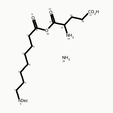 CCCCCCCCCCCCCCCCCC(=O)OC(=O)C(N)CCC(=O)O.N